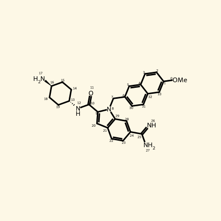 COc1ccc2cc(Cn3c(C(=O)N[C@H]4CC[C@H](N)CC4)cc4ccc(C(=N)N)cc43)ccc2c1